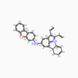 C=Cc1c(C=C)n2c3c(cc(Nc4ccc5c(c4)oc4ccccc45)cc13)C1CC=CC=C12